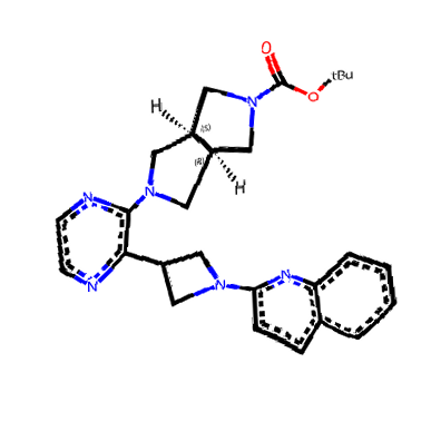 CC(C)(C)OC(=O)N1C[C@@H]2CN(c3nccnc3C3CN(c4ccc5ccccc5n4)C3)C[C@@H]2C1